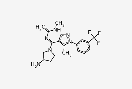 C=C(/N=C(\c1cnn(-c2cccc(C(F)(F)F)c2)c1C)N1CCC(N)C1)NC